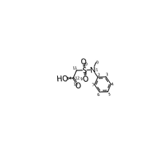 CN(c1ccccc1)S(=O)(=O)CC(=O)O